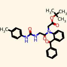 Cc1ccc(NC(=O)NCC(=O)N(CC(=O)OC(C)(C)C)c2ccccc2C(=O)c2ccccc2)cc1